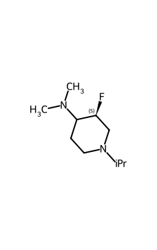 CC(C)N1CCC(N(C)C)[C@@H](F)C1